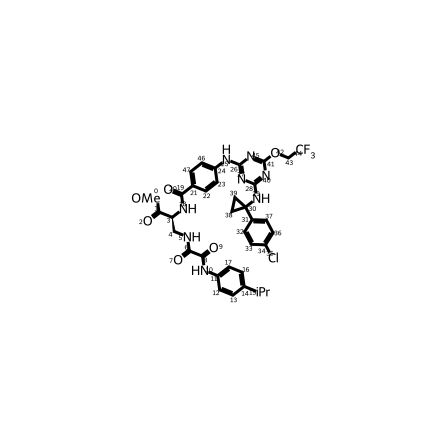 COC(=O)[C@H](CNC(=O)C(=O)Nc1ccc(C(C)C)cc1)NC(=O)c1ccc(Nc2nc(NC3(c4ccc(Cl)cc4)CC3)nc(OCC(F)(F)F)n2)cc1